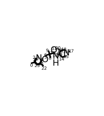 Cc1cnc(OCC(C)(C)C(=O)N[C@@H]2CCN(C)C[C@@H]2C)c(C)c1